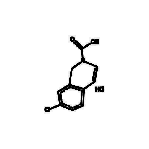 Cl.O=C(O)N1C=Cc2ccc(Cl)cc2C1